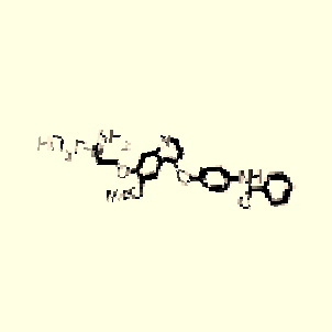 COc1cc2c(Oc3ccc(NC(=O)c4ccccc4)cc3)ccnc2cc1OCC[C@@H](N)C(=O)O